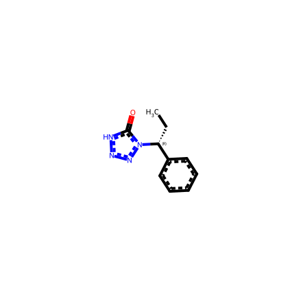 CC[C@H](c1ccccc1)n1nn[nH]c1=O